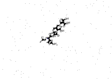 Nc1nc(/C(=N\OC(F)F)C(=O)NC2C(=O)N3C(C(=O)O)=C(CSc4snc(O)c4C(=O)O)CS[C@H]23)cs1